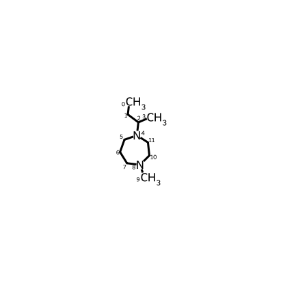 CCC(C)N1CCCN(C)CC1